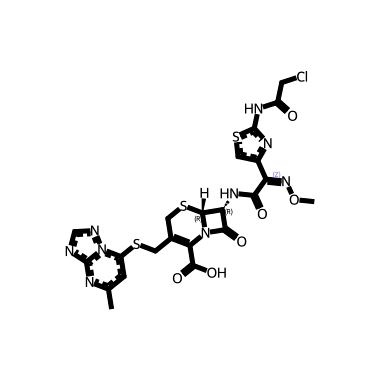 CO/N=C(\C(=O)N[C@@H]1C(=O)N2C(C(=O)O)=C(CSc3cc(C)nc4ncnn34)CS[C@H]12)c1csc(NC(=O)CCl)n1